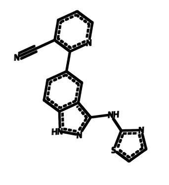 N#Cc1cccnc1-c1ccc2[nH]nc(Nc3nccs3)c2c1